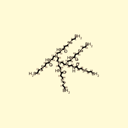 BCCSSCCC(=O)NCCN(CCNC(=O)CCSSCCB)CCN(CCNC(=O)CCSSCCB)CCN(CCNC(=O)CCSSCCB)CCNC(=O)CCSSCCB